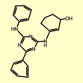 OC1C=C(Nc2nc(Nc3ccccc3)nc(-c3ccccc3)n2)CCC1